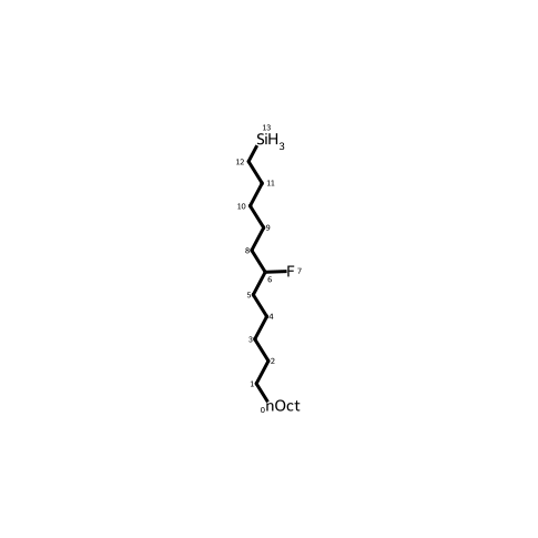 CCCCCCCCCCCCCC(F)CCCCC[SiH3]